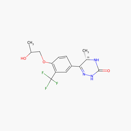 CC(O)COc1ccc(C2=NNC(=O)N[C@H]2C)cc1C(F)(F)F